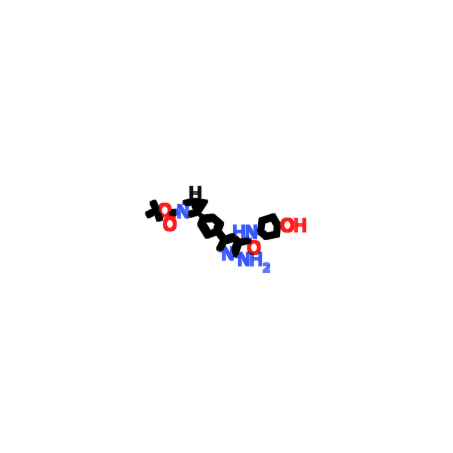 CC(C)(C)OC(=O)N1C[C@@H]2C[C@]2(c2ccc(-c3cnc(N)c(C(=O)NC4CCC(O)CC4)c3)cc2)C1